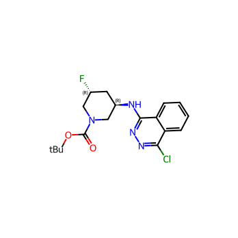 CC(C)(C)OC(=O)N1C[C@H](F)C[C@@H](Nc2nnc(Cl)c3ccccc23)C1